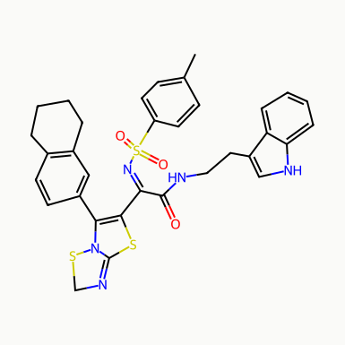 Cc1ccc(S(=O)(=O)N=C(C(=O)NCCc2c[nH]c3ccccc23)C2=C(c3ccc4c(c3)CCCC4)N3SCN=C3S2)cc1